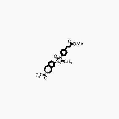 COC(=O)CCc1ccc(-n2c(C)nn(-c3ccc4c(c3)CCN(C(=O)C(F)(F)F)CC4)c2=O)cc1